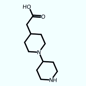 O=C(O)CC1CCN(C2CCNCC2)CC1